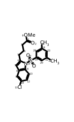 COC(=O)CCCc1cc2cc(Cl)ccc2n1S(=O)(=O)c1cc(C)cc(C)c1